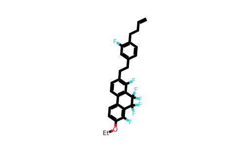 C=CCCc1ccc(CCc2ccc3c(c2F)C(F)(F)C(F)(F)c2c-3ccc(OCC)c2F)cc1F